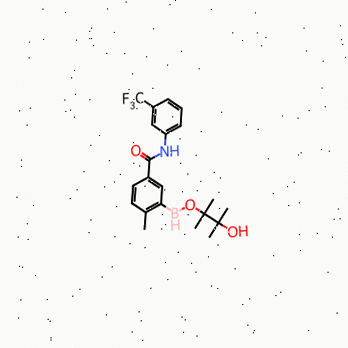 Cc1ccc(C(=O)Nc2cccc(C(F)(F)F)c2)cc1BOC(C)(C)C(C)(C)O